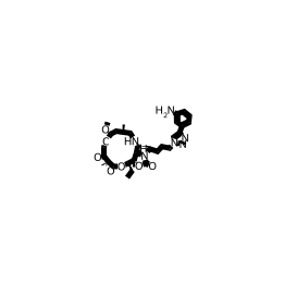 CC[C@H]1OC(=O)[C@H](C)C(=O)CC[C@H](OC)C[C@@H](C)CN[C@H](C)[C@H]2N(CCCCn3cc(-c4cccc(N)c4)nn3)C(=O)O[C@]12C